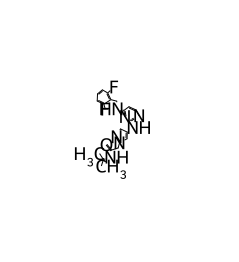 CC(C)NC(=O)Cn1cc(Nc2nccc(NCc3c(F)cccc3F)n2)cn1